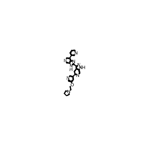 c1cncc(-c2cncc3[nH]c(-c4n[nH]c5cnc(-c6cncc(OCCN7CCCC7)c6)cc45)nc23)c1